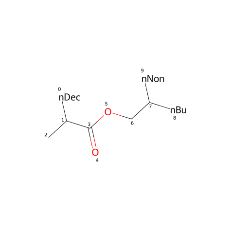 CCCCCCCCCCC(C)C(=O)OCC(CCCC)CCCCCCCCC